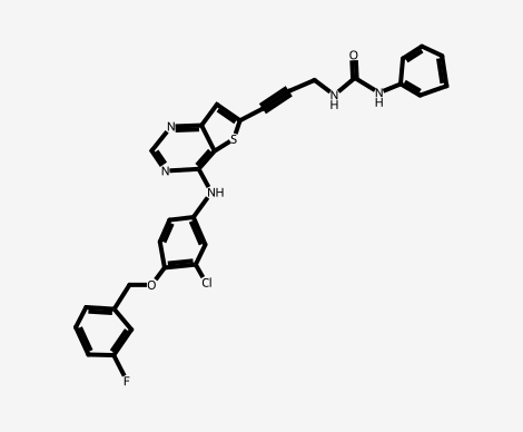 O=C(NCC#Cc1cc2ncnc(Nc3ccc(OCc4cccc(F)c4)c(Cl)c3)c2s1)Nc1ccccc1